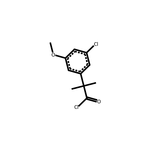 COc1cc(Cl)cc(C(C)(C)C(=O)Cl)c1